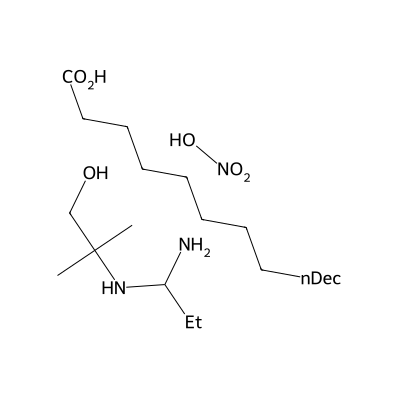 CCC(N)NC(C)(C)CO.CCCCCCCCCCCCCCCCCC(=O)O.O=[N+]([O-])O